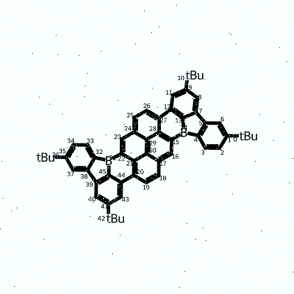 CC(C)(C)c1ccc2c(c1)-c1cc(C(C)(C)C)cc3c1B2c1cc2ccc4c5c(cc6ccc-3c1c6c25)B1c2ccc(C(C)(C)C)cc2-c2cc(C(C)(C)C)cc-4c21